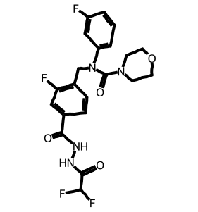 O=C(NNC(=O)C(F)F)c1ccc(CN(C(=O)N2CCOCC2)c2cccc(F)c2)c(F)c1